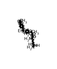 CCC(Oc1ccc(OC(C)(C)C(=O)OC(=O)[C@@H](N)CCCNC(=N)N)cc1)Oc1ccc(OS(C)(=O)=O)cc1